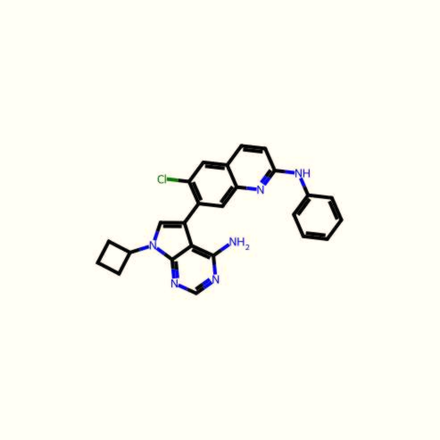 Nc1ncnc2c1c(-c1cc3nc(Nc4ccccc4)ccc3cc1Cl)cn2C1CCC1